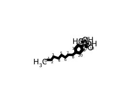 CCCCCCCCCc1ccc(P(O)(O)(O)C=O)cc1